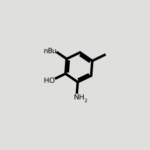 CCCCc1cc(C)cc(N)c1O